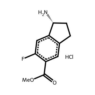 COC(=O)c1cc2c(cc1F)[C@H](N)CC2.Cl